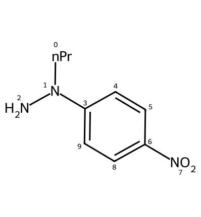 CCCN(N)c1ccc([N+](=O)[O-])cc1